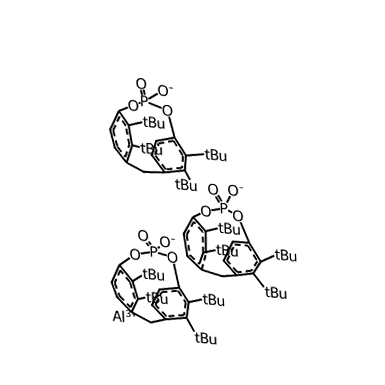 CC(C)(C)c1c2ccc(c1C(C)(C)C)OP(=O)([O-])Oc1ccc(c(C(C)(C)C)c1C(C)(C)C)C2.CC(C)(C)c1c2ccc(c1C(C)(C)C)OP(=O)([O-])Oc1ccc(c(C(C)(C)C)c1C(C)(C)C)C2.CC(C)(C)c1c2ccc(c1C(C)(C)C)OP(=O)([O-])Oc1ccc(c(C(C)(C)C)c1C(C)(C)C)C2.[Al+3]